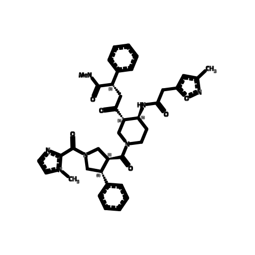 CNC(=O)[C@@H](CC(=O)[C@H]1CN(C(=O)[C@@H]2CN(C(=O)c3nccn3C)C[C@H]2c2ccccc2)CC[C@@H]1NC(=O)Cc1cc(C)no1)c1ccccc1